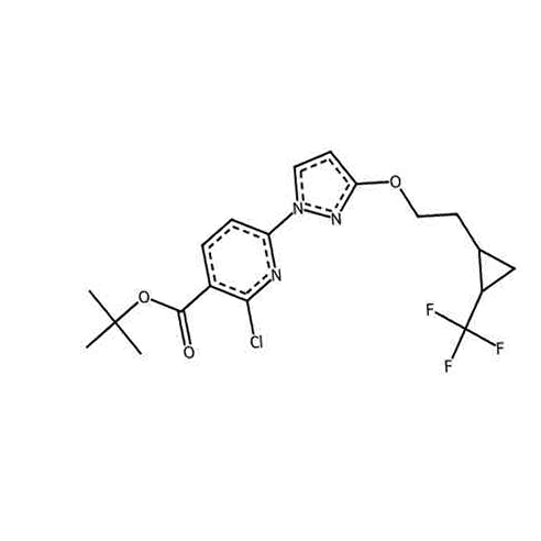 CC(C)(C)OC(=O)c1ccc(-n2ccc(OCCC3CC3C(F)(F)F)n2)nc1Cl